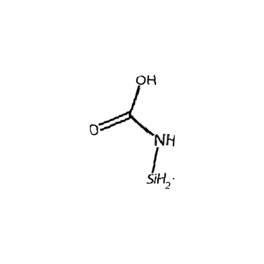 O=C(O)N[SiH2]